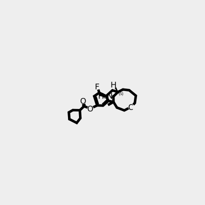 CC12CCCCCCC[C@@H](Cc3c(F)cc(OC(=O)C4CCCCC4)cc31)C2N